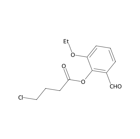 CCOc1cccc(C=O)c1OC(=O)CCCCl